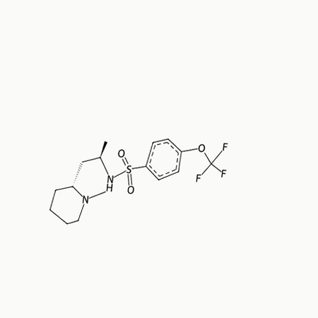 C[C@H](C[C@H]1CCCCN1C)NS(=O)(=O)c1ccc(OC(F)(F)F)cc1